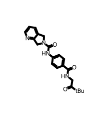 CC(C)(C)C(=O)CNC(=O)c1ccc(NC(=O)N2Cc3cccnc3C2)cc1